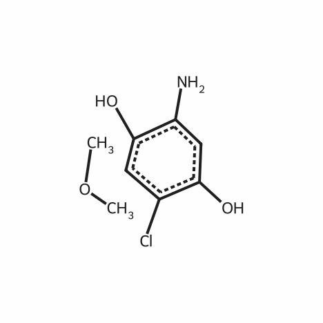 COC.Nc1cc(O)c(Cl)cc1O